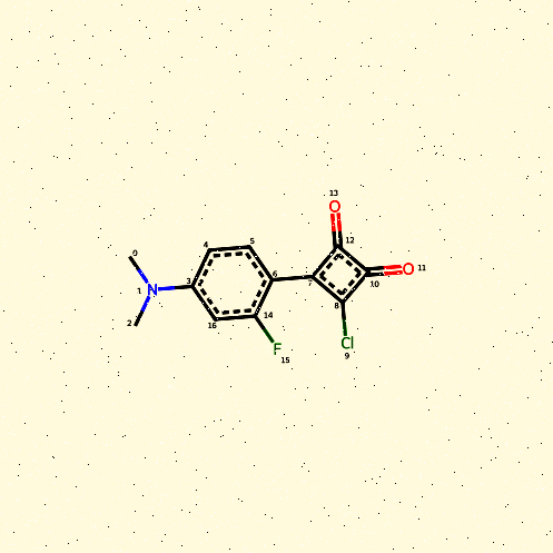 CN(C)c1ccc(-c2c(Cl)c(=O)c2=O)c(F)c1